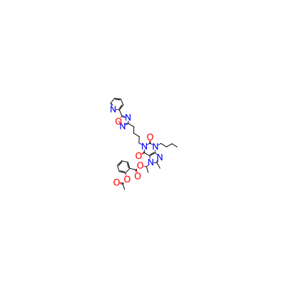 CCCCn1c(=O)n(CCCCc2noc(-c3ccccn3)n2)c(=O)c2c1nc(C)n2C(C)OC(=O)c1ccccc1OC(C)=O